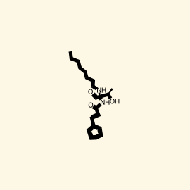 CCCCCCCCN[C@](C=O)(NC(=O)/C=C/c1ccccc1)[C@@H](C)O